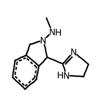 CNN1Cc2ccccc2C1C1=NCCN1